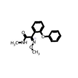 CNC(=O)/C(=N\OC)c1ccccc1Oc1ccccc1